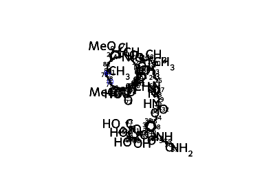 COc1cc2cc(c1Cl)N(C)C(=O)C[C@H](OC(=O)C(C)N(C)C(=O)CCCn1cc(CNC(=O)OCc3ccc(O[C@@H]4O[C@H](C(=O)O)[C@@H](O)[C@H](O)[C@H]4O)c(C(=O)NCCON)c3)nn1)[C@]1(C)O[C@H]1[C@H](C)[C@@H]1C[C@@](O)(NC(=O)O1)[C@H](OC)/C=C/C=C(\C)C2